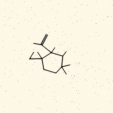 C=C(C)C1(O)C(Br)C(OC)(OC)CCC12CO2